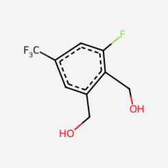 OCc1cc(C(F)(F)F)cc(F)c1CO